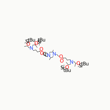 CC(CN(CCCC(=O)OCCN1CC(C)N(CCOC(=O)CCCN(CC(C)O[Si](C)(C)C(C)(C)C)CC(C)O[Si](C)(C)C(C)(C)C)CC1C)CC(C)O[Si](C)(C)C(C)(C)C)O[Si](C)(C)C(C)(C)C